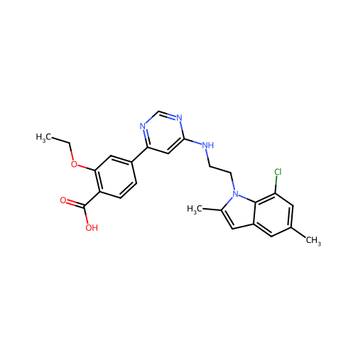 CCOc1cc(-c2cc(NCCn3c(C)cc4cc(C)cc(Cl)c43)ncn2)ccc1C(=O)O